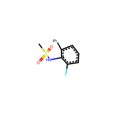 CC(C)c1cccc(F)c1NS(C)(=O)=O